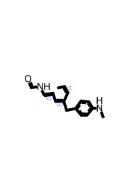 C\C=C/C(=C\C=C\NC=O)Cc1ccc(NC)cc1